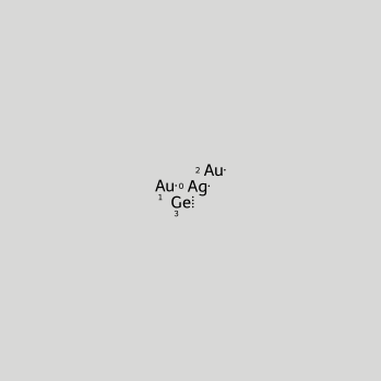 [Ag].[Au].[Au].[Ge]